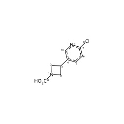 O=C(O)N1CC(c2ccc(Cl)nc2)C1